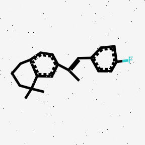 CC(=Cc1ccc(F)cc1)c1ccc2c(c1)C(C)(C)CCC2